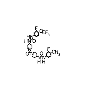 Cc1ccc(NC(=O)NC2CCN(C(=O)N3CCC(NC(=O)Nc4ccc(OC(F)(F)F)c(F)c4)CC3)CC2)cc1F